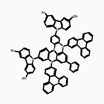 CC(C)(C)c1ccc2c(c1)c1cc(C(C)(C)C)ccc1n2-c1ccc2c(c1)N(c1ccc3c4ccccc4c4ccccc4c3c1)c1cc(-c3ccccc3)cc3c1B2c1ccc(-n2c4ccc(C(C)(C)C)cc4c4cc(C(C)(C)C)ccc42)cc1N3c1ccc2c3ccccc3c3ccccc3c2c1